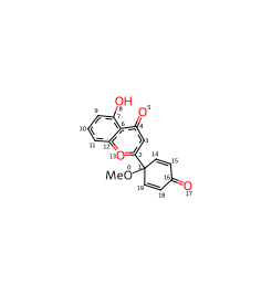 COC1(c2cc(=O)c3c(O)cccc3o2)C=CC(=O)C=C1